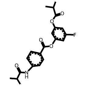 CC(C)C(=O)Nc1ccc(C(=O)Oc2cc(F)cc(OC(=O)C(C)C)c2)cc1